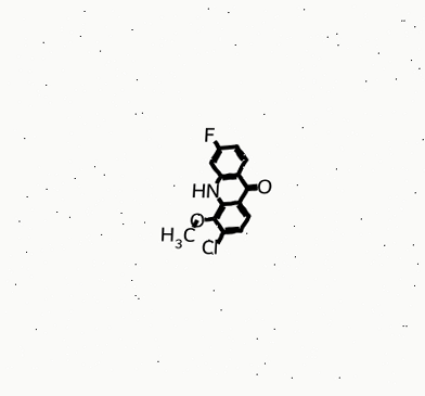 COc1c(Cl)ccc2c(=O)c3ccc(F)cc3[nH]c12